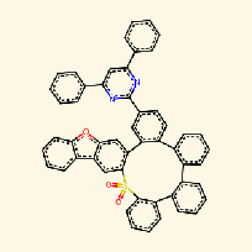 O=S1(=O)c2ccccc2-c2ccccc2-c2ccccc2-c2ccc(-c3nc(-c4ccccc4)cc(-c4ccccc4)n3)cc2-c2cc3oc4ccccc4c3cc21